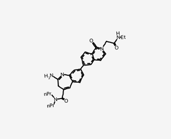 CCCN(CCC)C(=O)C1=Cc2ccc(-c3ccc4c(=O)n(CC(=O)NCC)ccc4c3)cc2N=C(N)C1